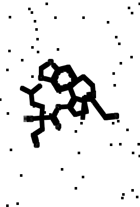 CC1=C(C=O)CN2CCc3cc4c(cc3C3=C(OC(=O)C(O)(CC=O)CCC(C)C)CCC132)OCO4